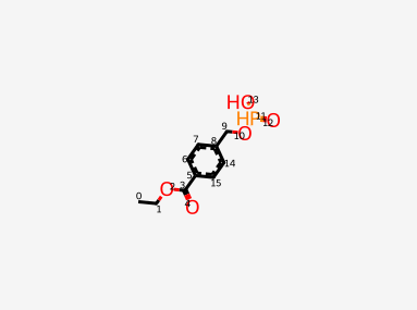 CCOC(=O)c1ccc(CO[PH](=O)O)cc1